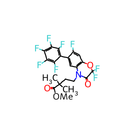 COC(=O)C(C)(C)CCN1C(=O)C(F)(F)Oc2cc(F)c(-c3c(F)c(F)c(F)c(F)c3F)cc21